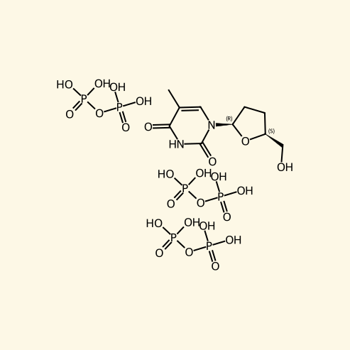 Cc1cn([C@H]2CC[C@@H](CO)O2)c(=O)[nH]c1=O.O=P(O)(O)OP(=O)(O)O.O=P(O)(O)OP(=O)(O)O.O=P(O)(O)OP(=O)(O)O